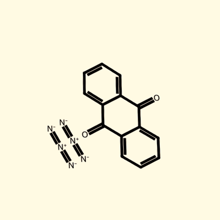 O=C1c2ccccc2C(=O)c2ccccc21.[N-]=[N+]=[N-].[N-]=[N+]=[N-]